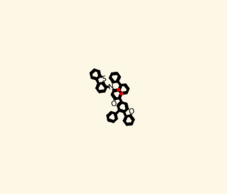 c1ccc(-c2ccccc2N(c2ccc3c(c2)oc2c(-c4ccccc4)c4c(cc23)oc2ccccc24)c2cccc3c2sc2ccccc23)cc1